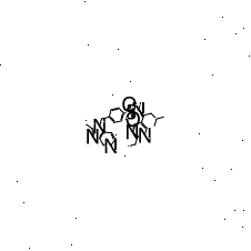 CCc1ncc(C(CC(C)C)N(C)S(=O)(=O)c2ccc(Cn3c(C)nc4cnccc43)cc2)cn1